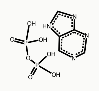 O=P(O)(O)OP(=O)(O)O.c1ncc2[nH]cnc2n1